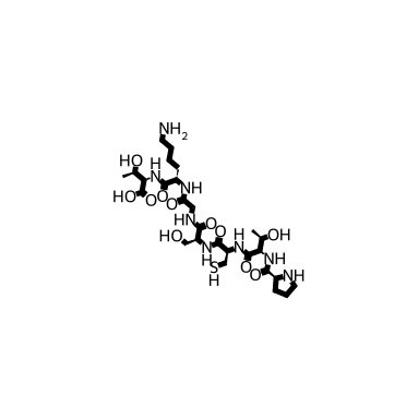 C[C@@H](O)[C@H](NC(=O)[C@H](CCCCN)NC(=O)CNC(=O)[C@H](CO)NC(=O)[C@H](CS)NC(=O)[C@@H](NC(=O)[C@@H]1CCCN1)[C@@H](C)O)C(=O)O